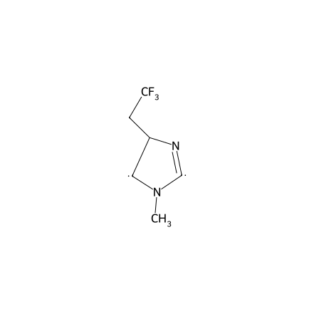 CN1[C]=NC(CC(F)(F)F)[CH]1